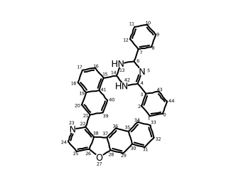 c1ccc(C2=NC(c3ccccc3)NC(c3cccc4cc(-c5nccc6oc7cc8ccccc8cc7c56)ccc34)N2)cc1